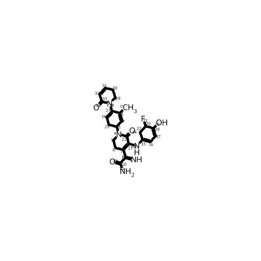 CC1=CC(N2CCC(C(=N)C(N)=O)=C(NC3=CC=C(O)C(F)C3)C2=O)CC=C1N1CCC=CC1=O